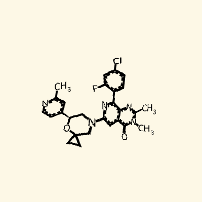 Cc1cc([C@H]2CN(c3cc4c(=O)n(C)c(C)nc4c(-c4ccc(Cl)cc4F)n3)CC3(CC3)O2)ccn1